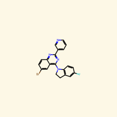 Fc1ccc2c(c1)CCN2c1nc(-c2cccnc2)nc2ccc(Br)cc12